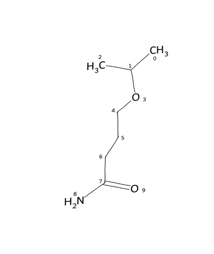 CC(C)OCCCC(N)=O